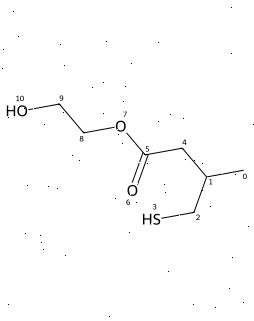 CC(CS)CC(=O)OCCO